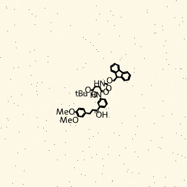 COc1ccc(CC[C@@H](O)c2cccc(NC(=O)C(CC(=O)OC(C)(C)C)NC(=O)OCC3c4ccccc4-c4ccccc43)c2)cc1OC